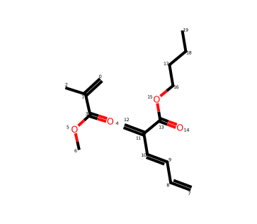 C=C(C)C(=O)OC.C=CC=CC(=C)C(=O)OCCCC